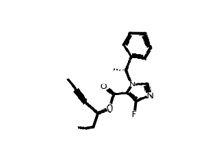 CC#CC(CC)OC(=O)c1c(F)ncn1[C@H](C)c1ccccc1